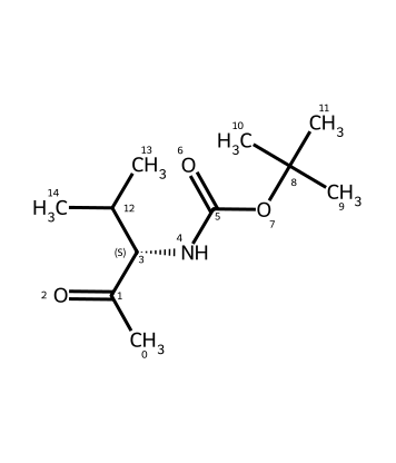 CC(=O)[C@@H](NC(=O)OC(C)(C)C)C(C)C